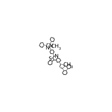 CN1C(c2ccc(-c3nc4ccc(C5=CC=C6c7ccccc7-c7ccccc7C6(C)C5)cc4c4c3sc3ccccc34)cc2)=NC(c2ccccc2)=CC1c1ccccc1